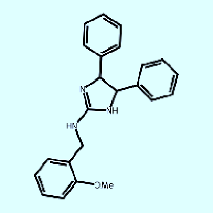 COc1ccccc1CNC1=NC(c2ccccc2)C(c2ccccc2)N1